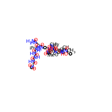 CC[C@H](C)[C@@H]([C@@H](CC(=O)N1CCC[C@H]1[C@H](OC)[C@@H](C)C(=O)N[C@H](C)[C@@H](O)c1ccccc1)OC)N(C)C(=O)[C@@H](NC(=O)[C@H](C(C)C)N(C)C(=O)OC(C(=O)ON1C(=O)CCC1=O)c1ccc(NC(=O)[C@H](CCCNC(N)=O)NC(=O)[C@@H](NC(=O)CNC(=O)CNC(=O)CNC(=O)CCN2C(=O)C=CC2=O)C(C)C)cc1)C(C)C